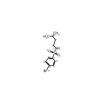 CC(C)CCNS(=O)(=O)c1ccc(Br)cc1